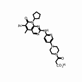 CC(=O)c1c(C)c2cnc(Nc3ccc(N4CCN(C(=O)CC(=O)O)CC4)cn3)nc2n(C2CCCC2)c1=O